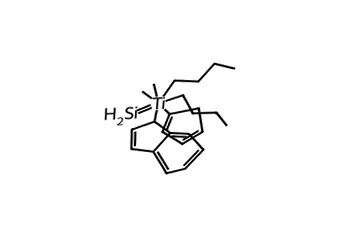 CCC[CH2][Ti]([CH3])([CH3])(=[SiH2])([CH2]CCC)([C]1=CC=CC1)[CH]1C=Cc2ccccc21